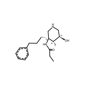 CCC(=O)N[C@@]1(CCCc2ccccc2)CNC[C@@H](O)[C@@H]1F